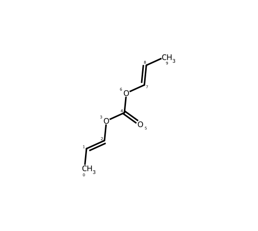 CC=COC(=O)OC=CC